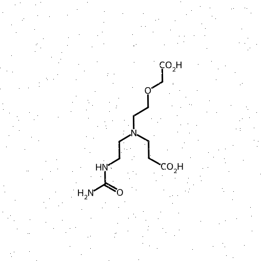 NC(=O)NCCN(CCOCC(=O)O)CCC(=O)O